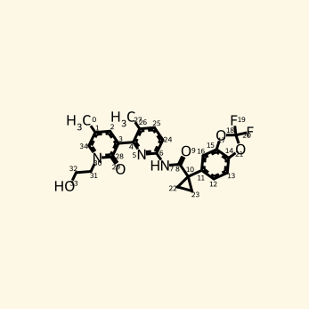 Cc1cc(-c2nc(NC(=O)C3(c4ccc5c(c4)OC(F)(F)O5)CC3)ccc2C)c(=O)n(CCO)c1